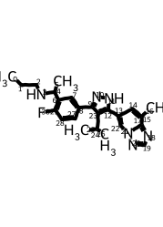 CCCNC(C)c1cc(-c2n[nH]c(-c3cc(C)c4ncnn4c3)c2C(C)C)ccc1F